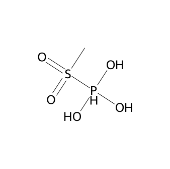 CS(=O)(=O)[PH](O)(O)O